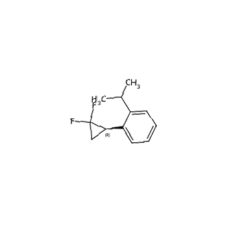 CC(C)c1ccccc1[C@H]1CC1(F)F